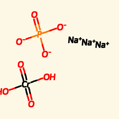 O=P([O-])([O-])[O-].[Na+].[Na+].[Na+].[O]=[Cr](=[O])([OH])[OH]